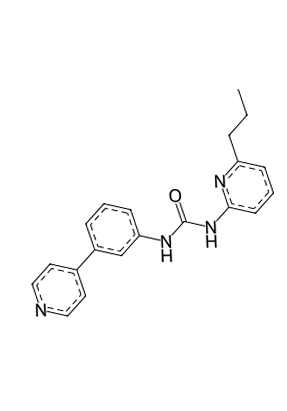 CCCc1cccc(NC(=O)Nc2cccc(-c3ccncc3)c2)n1